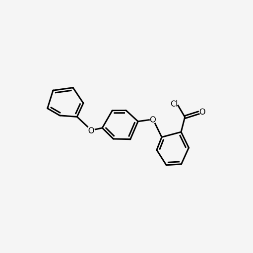 O=C(Cl)c1ccccc1Oc1ccc(Oc2ccccc2)cc1